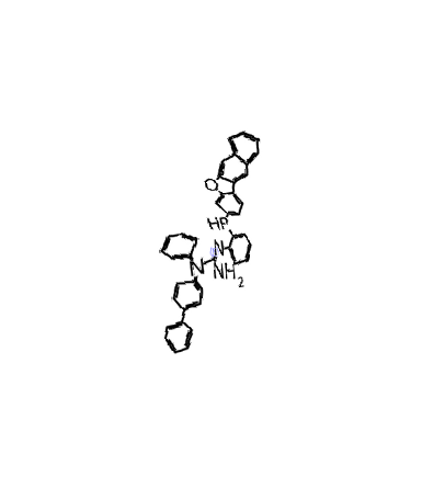 N/C(=N\c1ccccc1Pc1ccc2c(c1)oc1cc3ccccc3cc12)N(c1ccccc1)c1ccc(-c2ccccc2)cc1